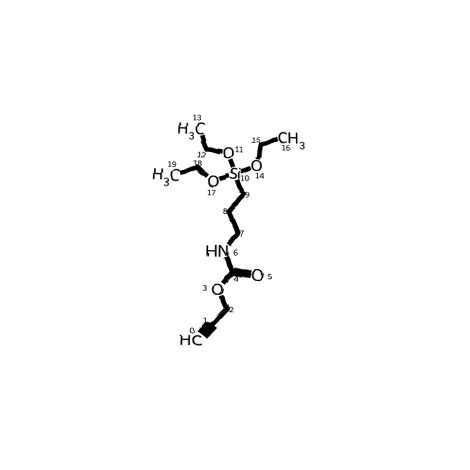 C#CCOC(=O)NCCC[Si](OCC)(OCC)OCC